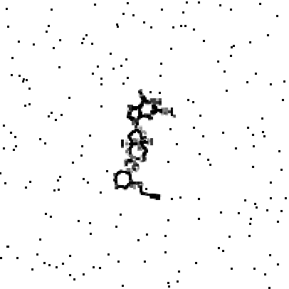 C#CCO[C@H]1CSSC[C@@H]1O[P@]1(=S)OC[C@H]2O[C@@H](n3cnc4c(=S)[nH]c(N)nc43)C[C@@H]2O1